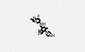 Cc1cn2cc(NCc3cc(C)c(N4CCNCC4)c4cn(C)nc34)cc(F)c2n1